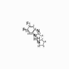 Fc1cc2nc(C[C@@H]3CCCN3)[nH]c2cc1F